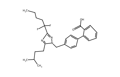 CCCCC(F)(F)c1nc(CCC(C)C)n(Cc2ccc(-c3ccccc3C(=O)O)cc2)n1